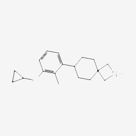 Cc1c(OC2CC2)cccc1C1CCC2(CC1)CNC2